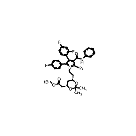 CC(C)c1c(C(=O)Nc2ccccc2)c(-c2ccc(F)cc2F)c(-c2ccc(F)cc2)n1CC[C@@H]1C[C@H](CC(=O)OC(C)(C)C)OC(C)(C)O1